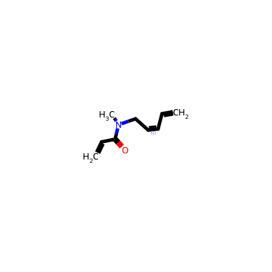 C=C/C=C\CN(C)C(=O)C=C